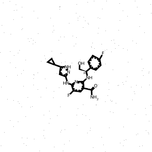 NC(=O)c1cc(F)c(Nc2cc(C3CC3)[nH]n2)nc1N[C@@H](CO)c1ccc(F)cc1